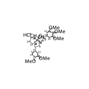 COc1ccc(CCN(CC(C)c2cc(OC)c(OC)c(OC)c2)C2(C)SCCCS2)cc1OC.Cl